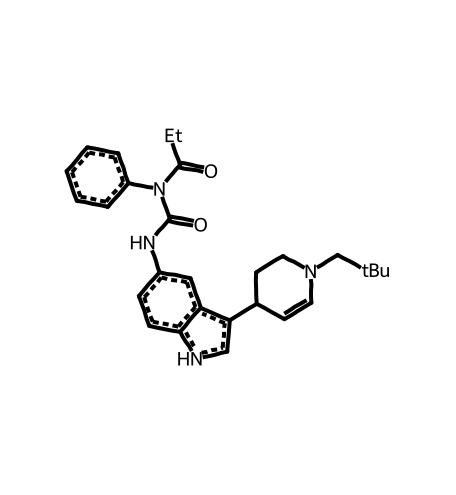 CCC(=O)N(C(=O)Nc1ccc2[nH]cc(C3C=CN(CC(C)(C)C)CC3)c2c1)c1ccccc1